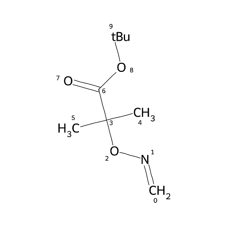 C=NOC(C)(C)C(=O)OC(C)(C)C